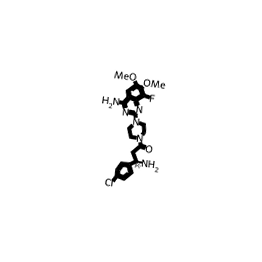 COc1cc2c(N)nc(N3CCN(C(=O)C[C@@H](N)c4ccc(Cl)cc4)CC3)nc2c(F)c1OC